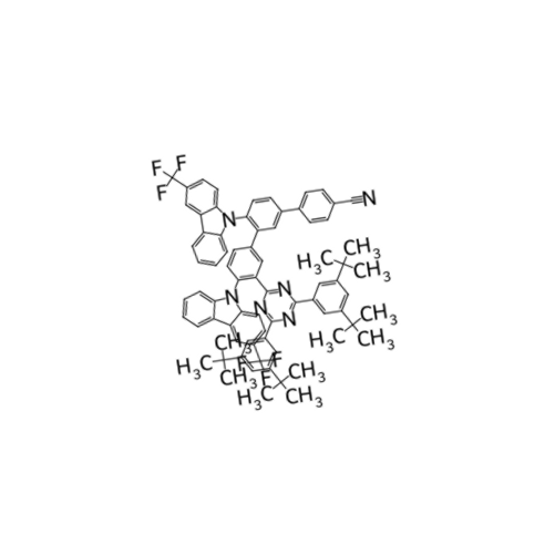 CC(C)(C)c1cc(-c2nc(-c3cc(C(C)(C)C)cc(C(C)(C)C)c3)nc(-c3cc(-c4cc(-c5ccc(C#N)cc5)ccc4-n4c5ccccc5c5cc(C(F)(F)F)ccc54)ccc3-n3c4ccccc4c4cc(C(F)(F)F)ccc43)n2)cc(C(C)(C)C)c1